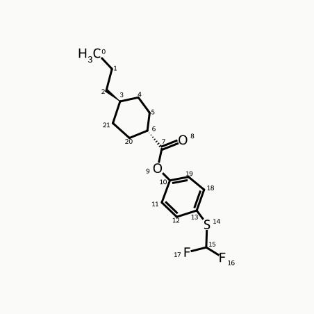 CCC[C@H]1CC[C@H](C(=O)Oc2ccc(SC(F)F)cc2)CC1